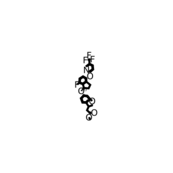 COC(=O)CC1COc2cc(O[C@@H]3CCc4c(Oc5ccc(C(F)(F)F)cn5)ccc(F)c43)ccc21